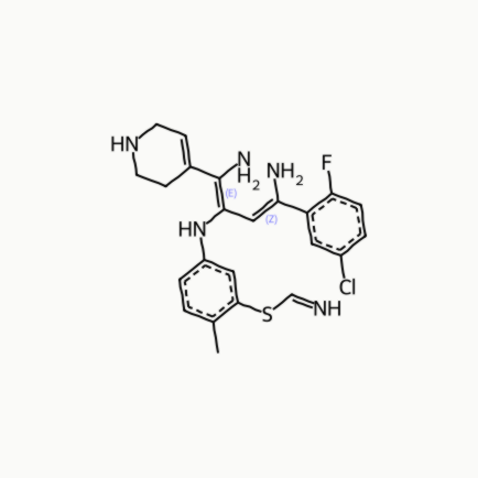 Cc1ccc(NC(/C=C(\N)c2cc(Cl)ccc2F)=C(/N)C2=CCNCC2)cc1SC=N